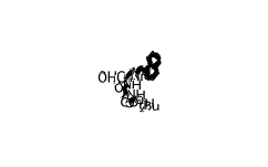 CC(C)(C)OC(=O)N[C@@H](CC(=O)O)C(=O)N[C@H](C=O)CNCc1cccc2ccccc12